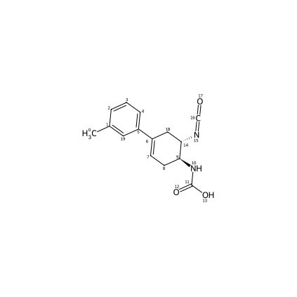 Cc1cccc(C2=CC[C@H](NC(=O)O)[C@@H](N=C=O)C2)c1